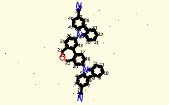 N#Cc1ccc2c(c1)c1ccccc1n2-c1ccc2c(c1)COCc1ccc(-n3c4ccccc4c4cc(C#N)ccc43)cc1-2